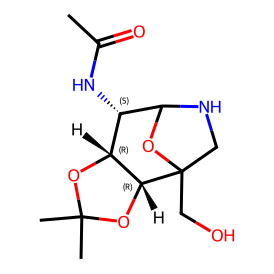 CC(=O)N[C@@H]1C2NCC(CO)(O2)[C@@H]2OC(C)(C)O[C@H]12